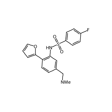 CNCc1ccc(-c2ccco2)c(NS(=O)(=O)c2ccc(F)cc2)c1